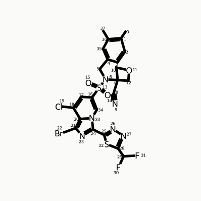 Cc1ccc(CN(C2(C#N)COC2)S(=O)(=O)c2cc(Cl)c3c(Br)nc(-c4nnc(C(F)F)s4)n3c2)cc1C